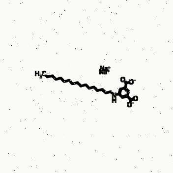 CCCCCCCCCCCCCCCCCNc1cc(C(=O)[O-])cc(C(=O)[O-])c1.[Na+].[Na+]